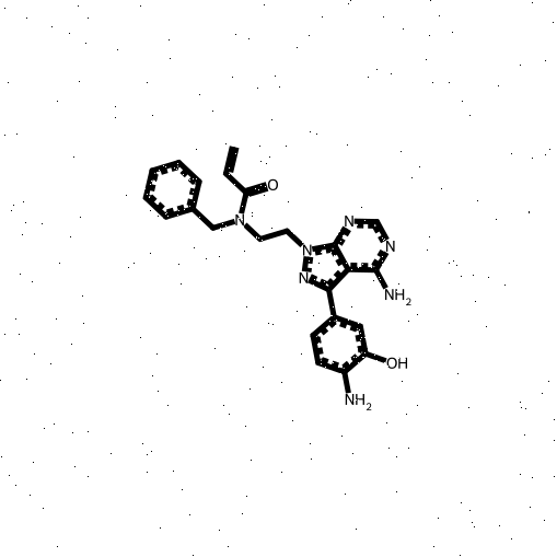 C=CC(=O)N(CCn1nc(-c2ccc(N)c(O)c2)c2c(N)ncnc21)Cc1ccccc1